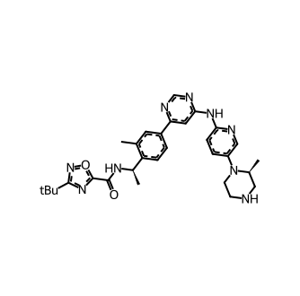 Cc1cc(-c2cc(Nc3ccc(N4CCNC[C@@H]4C)cn3)ncn2)ccc1[C@@H](C)NC(=O)c1nc(C(C)(C)C)no1